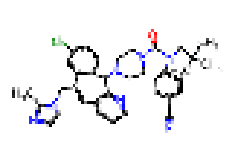 Cc1nccn1CC1=Cc2cccnc2C(N2CCN(C(=O)N(CC(C)(C)C)c3ccc(C#N)cc3)CC2)c2ccc(Cl)cc21